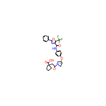 O=C(Nc1ccc(O[C@H]2CCN(C(=O)CC3(C(=O)O)CCCC3)C2)cc1)c1nc(-c2ccccc2)oc1C(F)(F)F